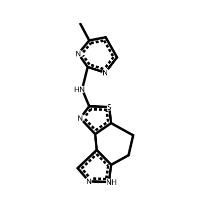 Cc1ccnc(Nc2nc3c(s2)CCc2[nH]ncc2-3)n1